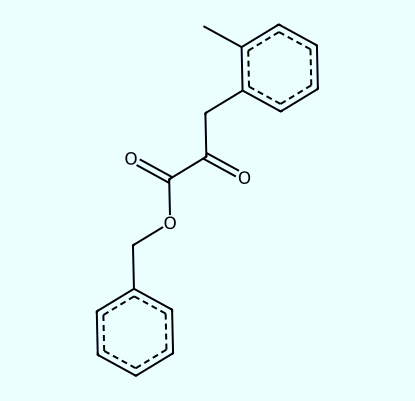 Cc1ccccc1CC(=O)C(=O)OCc1ccccc1